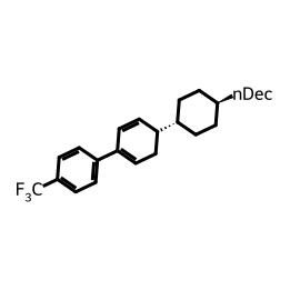 CCCCCCCCCC[C@H]1CC[C@H](C2C=CC(c3ccc(C(F)(F)F)cc3)=CC2)CC1